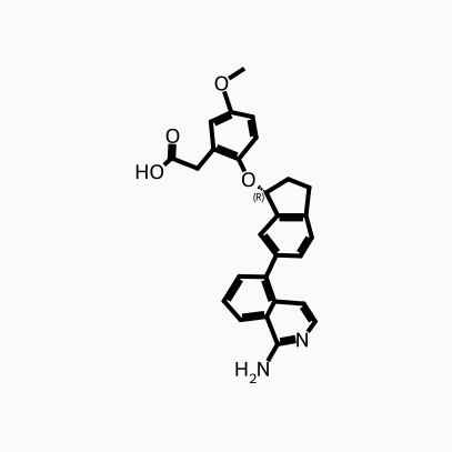 COc1ccc(O[C@@H]2CCc3ccc(-c4cccc5c(N)nccc45)cc32)c(CC(=O)O)c1